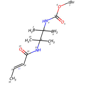 BC(B)(NC(=O)OC(C)(C)C)C(C)(C)NC(=O)/C=C/C